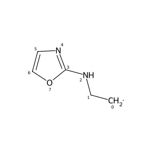 [CH2]CNc1ncco1